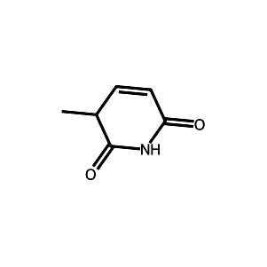 CC1C=CC(=O)NC1=O